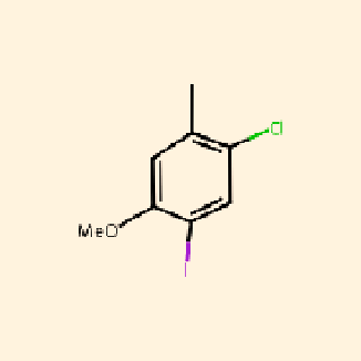 COc1cc(C)c(Cl)cc1I